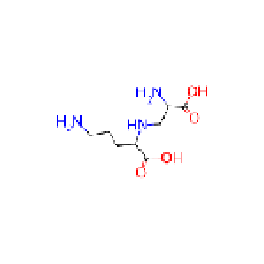 NCCC[C@@H](NCC(N)C(=O)O)C(=O)O